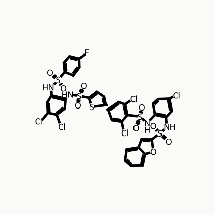 O=S(=O)(Nc1cc(Cl)c(Cl)cc1NS(=O)(=O)c1cccs1)c1ccc(F)cc1.O=S(=O)(Nc1cc(Cl)ccc1NS(=O)(=O)c1c(Cl)cccc1Cl)c1cc2ccccc2o1